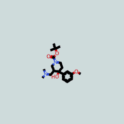 COc1cccc(C2(O)CCN(C(=O)OC(C)(C)C)CC2CN(C)C)c1